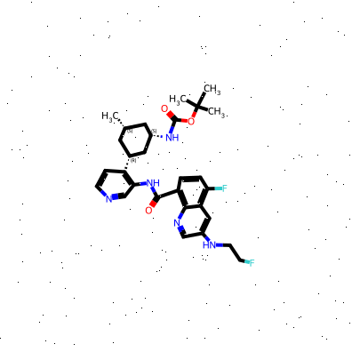 C[C@@H]1C[C@H](NC(=O)OC(C)(C)C)C[C@H](c2ccncc2NC(=O)c2ccc(F)c3cc(NCCF)cnc23)C1